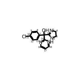 OC(C1=NCCN1)(c1ccc(Cl)cc1)c1ncccn1